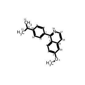 COc1ccc2c(-c3ccc(C(C)C)cc3)nccc2c1